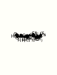 CCc1cc(N2C(=S)N(c3cnc(C#N)c(C(F)(F)F)c3)C(=O)C2(C)C)ccc1OCCN1CCN(CC(=O)Nc2cccc(NC3CCC(=O)NC3=O)c2)C(C)C1.Cl